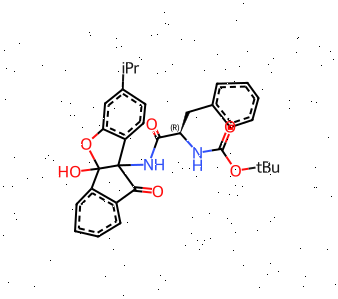 CC(C)c1ccc2c(c1)OC1(O)c3ccccc3C(=O)C21NC(=O)[C@@H](Cc1ccccc1)NC(=O)OC(C)(C)C